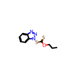 CCCOC(=S)Sn1nnc2ccccc21